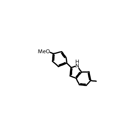 COc1ccc(-c2cc3ccc(C)cc3[nH]2)cc1